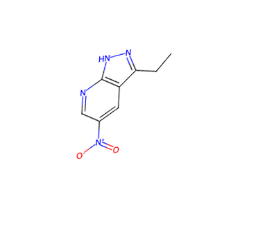 CCc1n[nH]c2ncc([N+](=O)[O-])cc12